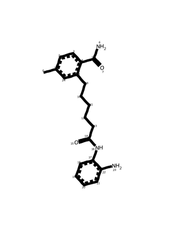 Cc1ccc(C(N)=O)c(CCCCCC(=O)Nc2ccccc2N)c1